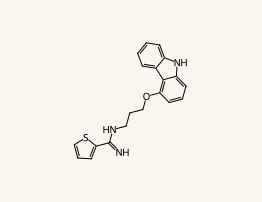 N=C(NCCCOc1cccc2[nH]c3ccccc3c12)c1cccs1